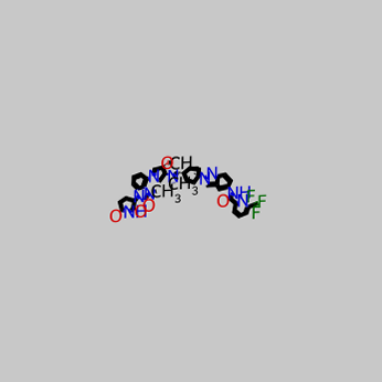 CO[C@H]1CN(c2cccc3c2n(C)c(=O)n3C2CCC(=O)NC2=O)C[C@@H]1N(C)C[C@H]1CC[C@H](n2cc3cc(NC(=O)c4cccc(C(F)(F)F)n4)ccc3n2)CC1